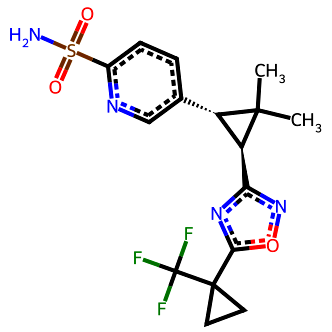 CC1(C)[C@@H](c2ccc(S(N)(=O)=O)nc2)[C@@H]1c1noc(C2(C(F)(F)F)CC2)n1